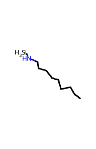 CCCCCCCCCN[SiH3]